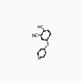 N#Cc1ccc(Sc2ccncc2)cc1C#N